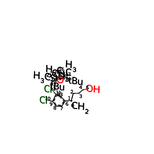 C=C(CCCO)c1ccc(Cl)c(Cl)c1.CC(C)(C)[Si](C)(C)O[Si](C)(C)C(C)(C)C